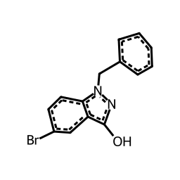 Oc1nn(Cc2ccccc2)c2ccc(Br)cc12